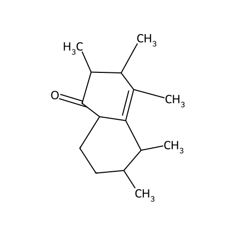 CC1=C2C(CCC(C)C2C)C(=O)C(C)C1C